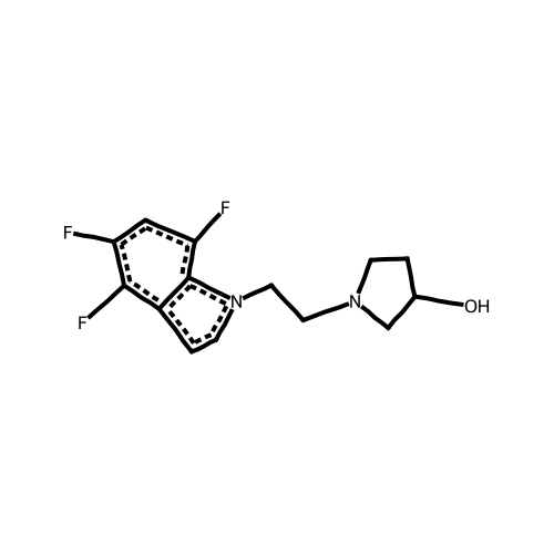 OC1CCN(CCn2ccc3c(F)c(F)cc(F)c32)C1